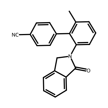 Cc1cccc(N2Cc3ccccc3C2=O)c1-c1ccc(C#N)cc1